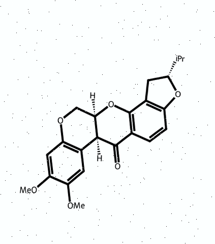 COc1cc2c(cc1OC)[C@@H]1C(=O)c3ccc4c(c3O[C@@H]1CO2)C[C@H](C(C)C)O4